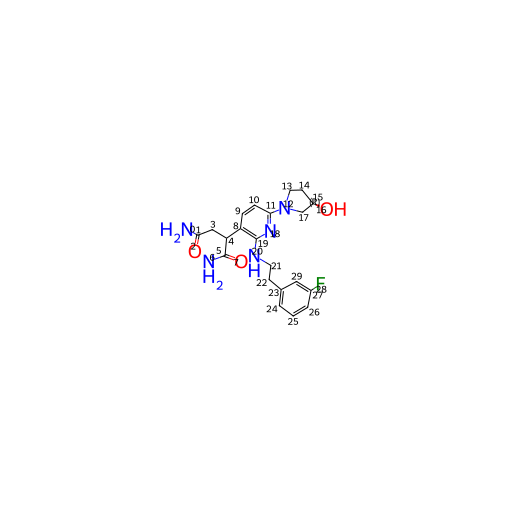 NC(=O)CC(C(N)=O)c1ccc(N2CC[C@@H](O)C2)nc1NCCc1cccc(F)c1